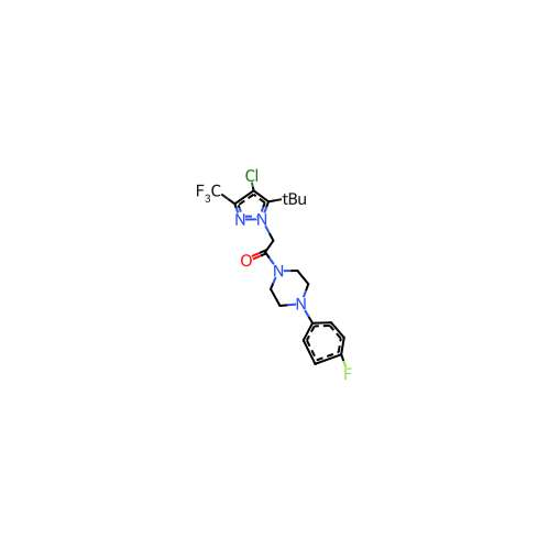 CC(C)(C)c1c(Cl)c(C(F)(F)F)nn1CC(=O)N1CCN(c2ccc(F)cc2)CC1